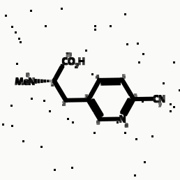 CN[C@@H](Cc1ccc(C#N)nc1)C(=O)O